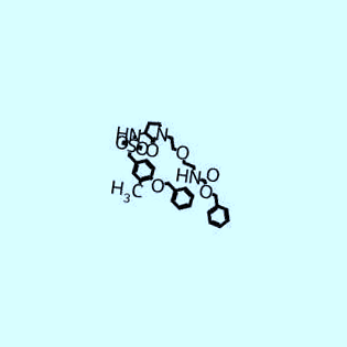 Cc1cc(CS(=O)(=O)N[C@H]2CCN(CCOCCNC(=O)OCc3ccccc3)C2=O)ccc1OCc1ccccc1